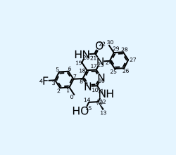 Cc1cc(F)ccc1-c1nc(N[C@@H](C)CO)nc2c1CNC(=O)N2c1ccccc1C